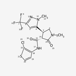 CN1C[C@H](c2cc(C(F)(F)F)nn2C)[C@@H](C(=O)Nc2ccsc2Cl)C1=O